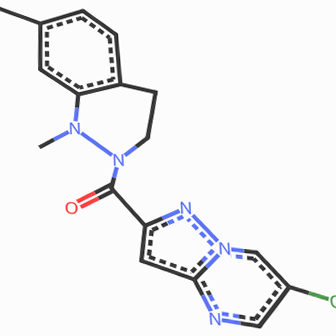 Cc1ccc2c(c1)N(C)N(C(=O)c1cc3ncc(Cl)cn3n1)CC2